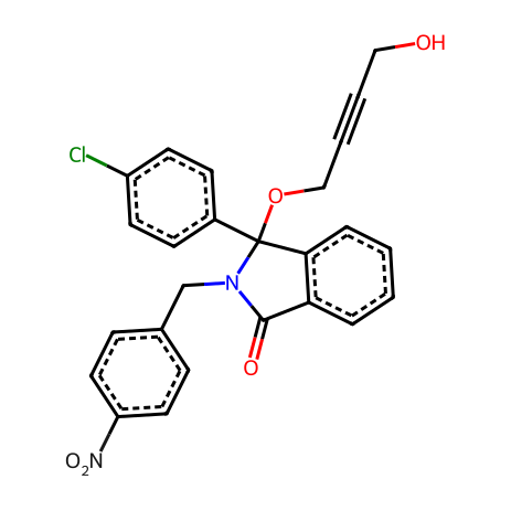 O=C1c2ccccc2C(OCC#CCO)(c2ccc(Cl)cc2)N1Cc1ccc([N+](=O)[O-])cc1